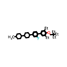 CCc1cc(-c2ccc(C3CCC(C4CCC(C)CC4)CC3)cc2F)cc(CC)c1OCC(CC)(CC)CC